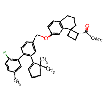 COC(=O)[C@@H]1CC[C@@]12CCCc1ccc(OCc3ccc(-c4cc(C)ccc4F)c(C4=CCCC4(C)C)c3)cc12